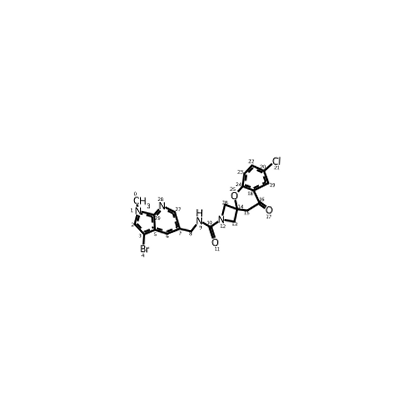 Cn1cc(Br)c2cc(CNC(=O)N3CC4(CC(=O)c5cc(Cl)ccc5O4)C3)cnc21